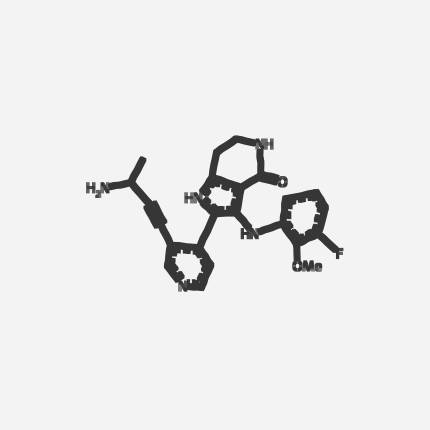 COc1c(F)cccc1Nc1c(-c2ccncc2C#CC(C)N)[nH]c2c1C(=O)NCC2